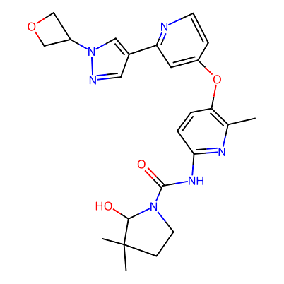 Cc1nc(NC(=O)N2CCC(C)(C)C2O)ccc1Oc1ccnc(-c2cnn(C3COC3)c2)c1